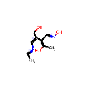 C/C=N/C=C(/CO)C(/C=N/O)=C(C)O